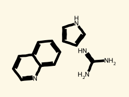 N=C(N)N.c1cc[nH]c1.c1ccc2ncccc2c1